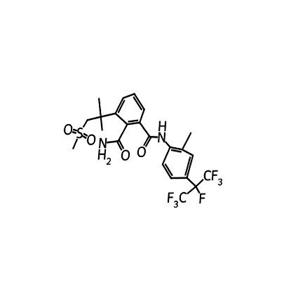 Cc1cc(C(F)(C(F)(F)F)C(F)(F)F)ccc1NC(=O)c1cccc(C(C)(C)CS(C)(=O)=O)c1C(N)=O